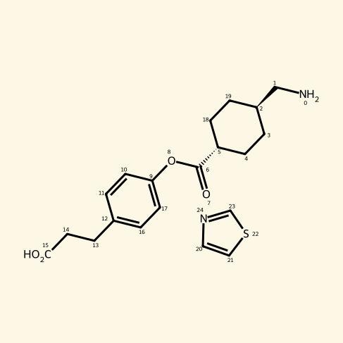 NC[C@H]1CC[C@H](C(=O)Oc2ccc(CCC(=O)O)cc2)CC1.c1cscn1